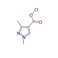 Cc1nn(C)cc1C(=O)OCl